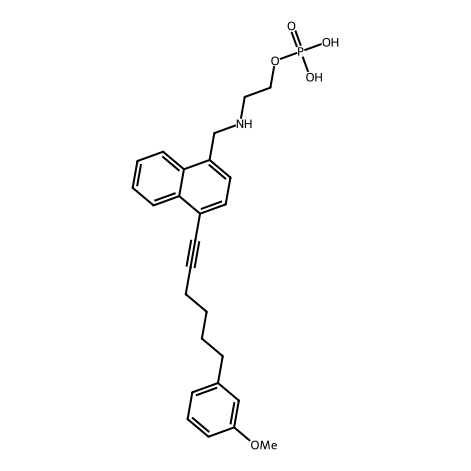 COc1cccc(CCCCC#Cc2ccc(CNCCOP(=O)(O)O)c3ccccc23)c1